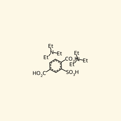 CCN(CC)CC.CCN(CC)CC.O=C(O)c1ccc(C(=O)O)c(S(=O)(=O)O)c1